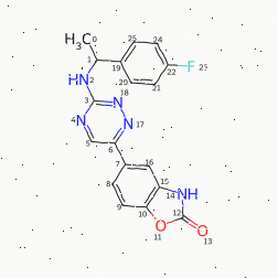 CC(Nc1ncc(-c2ccc3oc(=O)[nH]c3c2)nn1)c1ccc(F)cc1